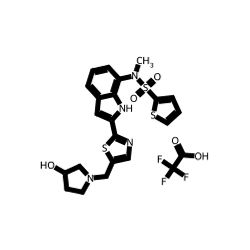 CN(c1cccc2cc(-c3ncc(CN4CCC(O)C4)s3)[nH]c12)S(=O)(=O)c1cccs1.O=C(O)C(F)(F)F